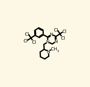 CN1CCCCC1CN1CN=C(C(Cl)(Cl)Cl)N=C1c1cccc(C(Cl)(Cl)Cl)c1